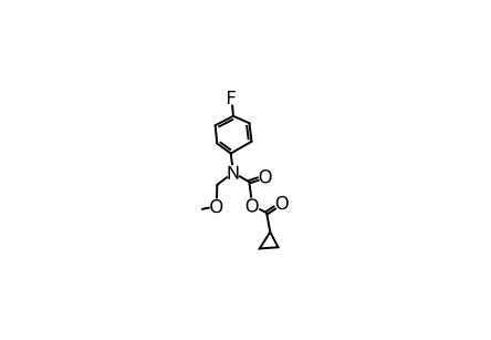 COCN(C(=O)OC(=O)C1CC1)c1ccc(F)cc1